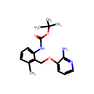 Cc1cccc(NC(=O)OC(C)(C)C)c1COc1cccnc1N